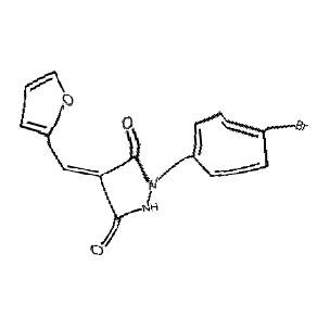 O=C1NN(c2ccc(Br)cc2)C(=O)C1=Cc1ccco1